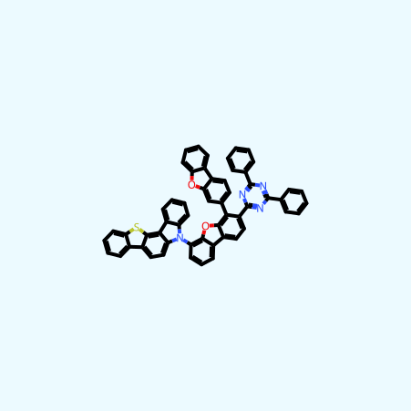 c1ccc(-c2nc(-c3ccccc3)nc(-c3ccc4c(oc5c(-n6c7ccccc7c7c8sc9ccccc9c8ccc76)cccc54)c3-c3ccc4c(c3)oc3ccccc34)n2)cc1